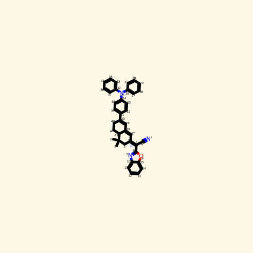 CC1(C)C/C(=C(/C#N)c2nc3ccccc3o2)C=C2C=C(c3ccc(N(c4ccccc4)c4ccccc4)cc3)CCC21